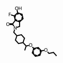 CCCOc1cccc(OC(C)C2CCC(CN3Cc4ccc(O)c(F)c4C3=O)CC2)c1